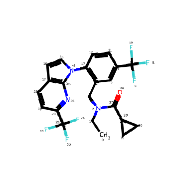 CCN(Cc1cc(C(F)(F)F)ccc1-n1ccc2ccc(C(F)(F)F)nc21)C(=O)C1CC1